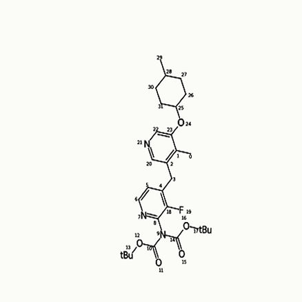 Cc1c(Cc2ccnc(N(C(=O)OC(C)(C)C)C(=O)OC(C)(C)C)c2F)cncc1OC1CCC(C)CC1